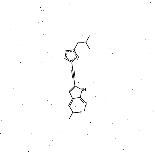 C/N=C1/NC(C#Cc2ccc(CN(C)C)o2)=C/C1=C/C(C)F